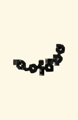 O=C(Nc1cccc(Nc2nccc(-c3cccnc3)n2)c1)c1ccc(CN2CCNCC2)cc1